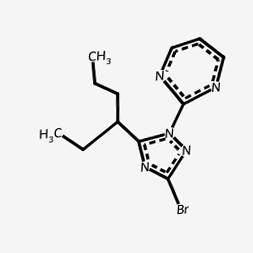 CCCC(CC)c1nc(Br)nn1-c1ncccn1